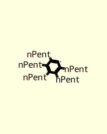 CCCCCc1[c]c(CCCCC)c(CCCCC)c(CCCCC)c1CCCCC